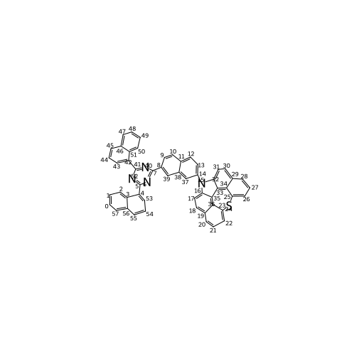 c1ccc2c(-c3nc(-c4ccc5ccc(-n6c7ccc8cccc9sc%10cccc%11ccc6c(c%11%10)c7c89)cc5c4)nc(-c4cccc5ccccc45)n3)cccc2c1